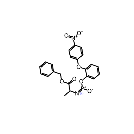 CC(/N=[P+](/[O-])Oc1ccccc1Oc1ccc([N+](=O)[O-])cc1)C(=O)OCc1ccccc1